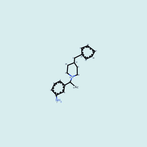 CC(=O)C(c1cccc(N)c1)N1CCC(Cc2ccccc2)CC1